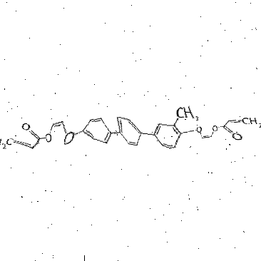 C=CC(=O)O/C=C\Oc1ccc(-c2ccc(-c3ccc(O/C=C\OC(=O)C=C)c(C)c3)cc2)cc1